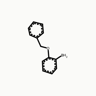 Bc1ccccc1OCc1ccccc1